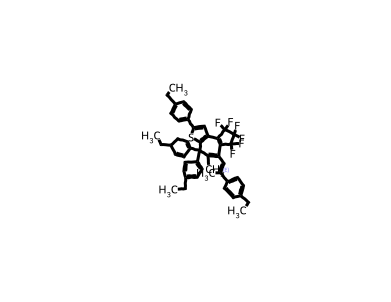 CCc1ccc(/C(C)=C/C2=C(C)C(C3=CCC(CC)C=C3)(c3ccc(CC)cc3)c3sc(-c4ccc(CC)cc4)cc3C3=C2C(F)(F)C(F)(F)C3(F)F)cc1